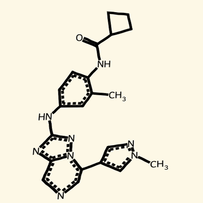 Cc1cc(Nc2nc3cncc(-c4cnn(C)c4)n3n2)ccc1NC(=O)C1CCC1